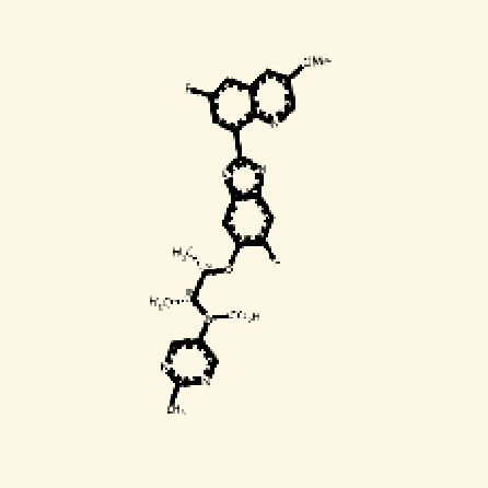 COc1cnc2c(-c3nc4cc(F)c(O[C@@H](C)[C@@H](C)N(C(=O)O)c5cnc(C)nc5)cc4s3)cc(F)cc2c1